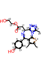 Cc1sc2c(c1C)C(c1ccc(O)cc1)=NC(CC(=O)OCCO)c1nnc(C)n1-2